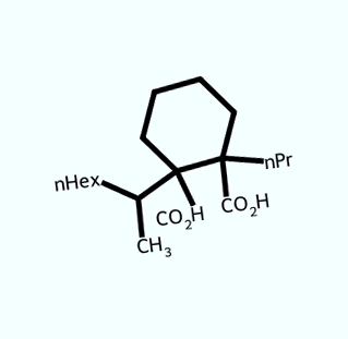 CCCCCCC(C)C1(C(=O)O)CCCCC1(CCC)C(=O)O